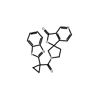 O=C1OC2(CCN(C(=O)C3(c4nc5ccccc5s4)CC3)C2)c2ccncc21